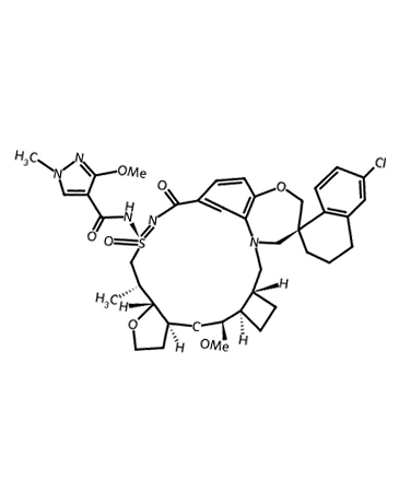 COc1nn(C)cc1C(=O)N[S@@]1(=O)=NC(=O)c2ccc3c(c2)N(C[C@@H]2CC[C@H]2[C@@H](OC)C[C@H]2CCO[C@@H]2[C@H](C)C1)C[C@@]1(CCCc2cc(Cl)ccc21)CO3